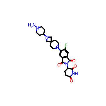 NN1CCC(N2CC3(CCN(c4cc5c(cc4F)C(=O)N(C4CCC(=O)NC4=O)C5=O)CC3)C2)CC1